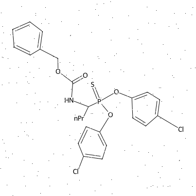 CCCC(NC(=O)OCc1ccccc1)P(=S)(Oc1ccc(Cl)cc1)Oc1ccc(Cl)cc1